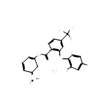 COc1cc(F)ccc1Oc1cc(C(F)(F)C(F)(F)F)ccc1C(=O)NC1=CC=CC(=S(=O)=O)C1